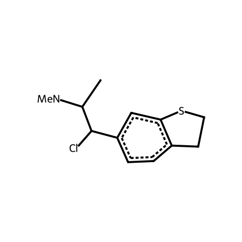 CNC(C)C(Cl)c1ccc2c(c1)SCC2